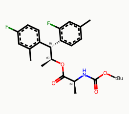 Cc1ccc([C@@H](c2ccc(F)cc2C)[C@H](C)OC(=O)[C@H](C)NC(=O)OC(C)(C)C)c(F)c1